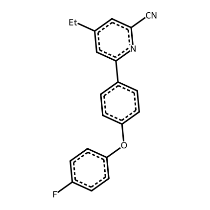 CCc1cc(C#N)nc(-c2ccc(Oc3ccc(F)cc3)cc2)c1